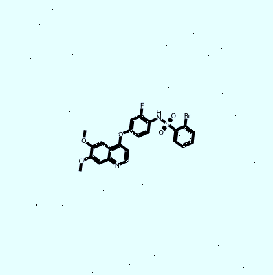 COc1cc2nccc(Oc3ccc(NS(=O)(=O)c4ccccc4Br)c(F)c3)c2cc1OC